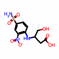 NS(=O)(=O)c1ccc(NC(CO)CC(=O)O)c([N+](=O)[O-])c1